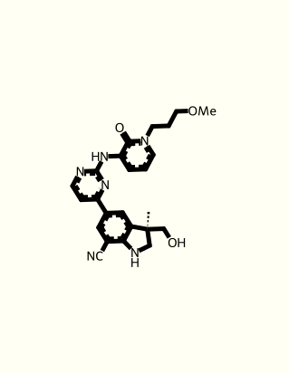 COCCCn1cccc(Nc2nccc(-c3cc(C#N)c4c(c3)[C@@](C)(CO)CN4)n2)c1=O